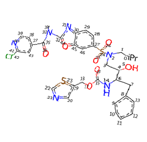 CC(C)CN(CC(O)C(Cc1ccccc1)NC(=O)OCc1cncs1)S(=O)(=O)c1ccc2nc(N(C)C(=O)c3ccnc(Cl)c3)oc2c1